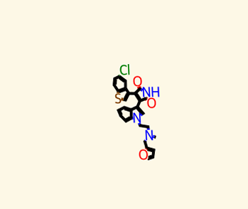 CN(CCn1cc(C2=C(c3csc4ccc(Cl)cc34)C(=O)NC2=O)c2ccccc21)Cc1ccco1